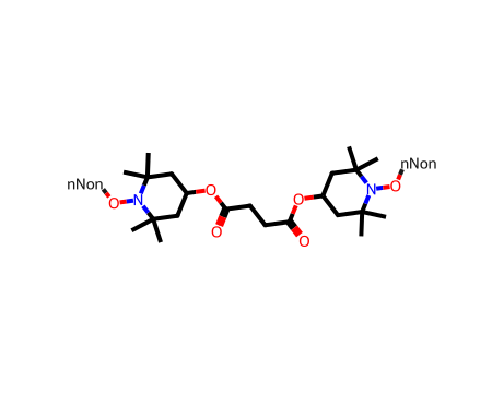 CCCCCCCCCON1C(C)(C)CC(OC(=O)CCC(=O)OC2CC(C)(C)N(OCCCCCCCCC)C(C)(C)C2)CC1(C)C